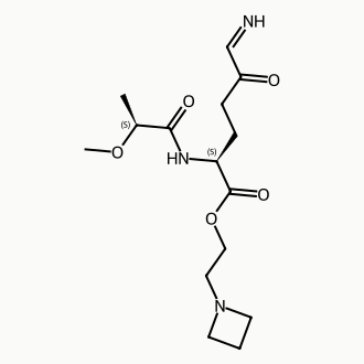 CO[C@@H](C)C(=O)N[C@@H](CCC(=O)C=N)C(=O)OCCN1CCC1